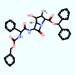 CC1C(O)[C@@H]2C(NC(=O)C(NC(=O)OCc3ccccc3)c3ccccc3)C(=O)N2C1C(=O)OC(c1ccccc1)c1ccccc1